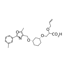 C=CCOC(CO[C@@H]1CCC[C@H](OCc2nc(-c3cccc(C)c3)oc2C)C1)C(=O)O